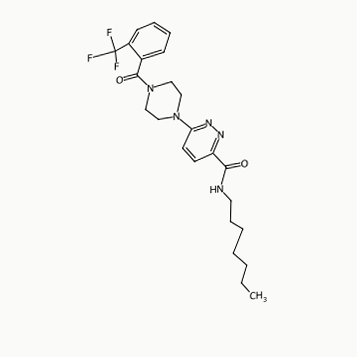 CCCCCCCNC(=O)c1ccc(N2CCN(C(=O)c3ccccc3C(F)(F)F)CC2)nn1